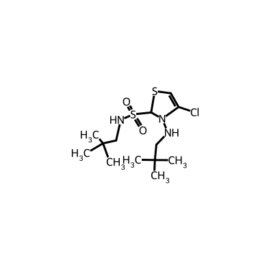 CC(C)(C)CNN1C(Cl)=CSC1S(=O)(=O)NCC(C)(C)C